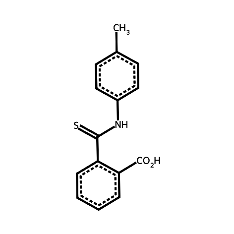 Cc1ccc(NC(=S)c2ccccc2C(=O)O)cc1